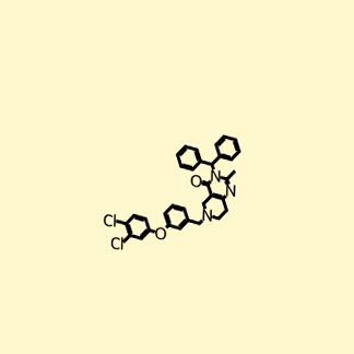 Cc1nc2c(c(=O)n1C(c1ccccc1)c1ccccc1)CN(Cc1cccc(Oc3ccc(Cl)c(Cl)c3)c1)CC2